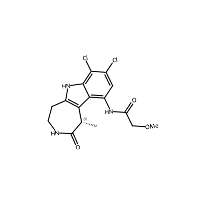 COCC(=O)Nc1cc(Cl)c(Cl)c2[nH]c3c(c12)[C@H](C)C(=O)NCC3